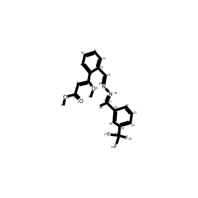 COC(=O)C=C(OC)c1ccccc1C=NN=C(C)c1cccc(C(F)(F)F)c1